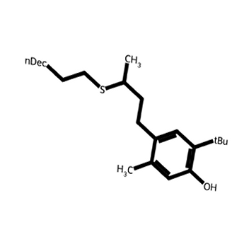 CCCCCCCCCCCCSC(C)CCc1cc(C(C)(C)C)c(O)cc1C